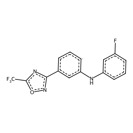 Fc1cccc(Nc2[c]ccc(-c3noc(C(F)(F)F)n3)c2)c1